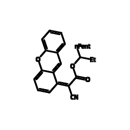 CCCCCC(CC)OC(=O)C(C#N)=c1cccc2c1=Cc1ccccc1O2